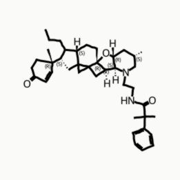 CCCC1[C@@H]2CC[C@@]34O[C@@H]5C[C@H](C)CN(CCNC(=O)C(C)(C)c6ccccc6)[C@H]5[C@H]3CC43CC23C[C@@H]1[C@]1(C)C=CC(=O)CC1